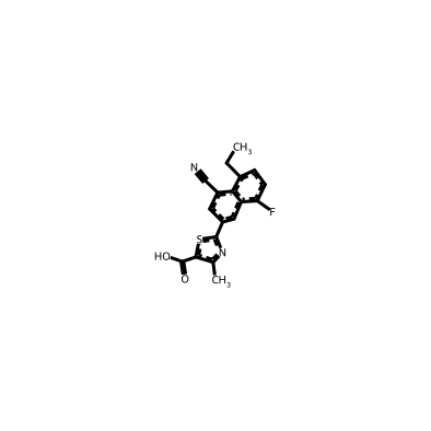 CCc1ccc(F)c2cc(-c3nc(C)c(C(=O)O)s3)cc(C#N)c12